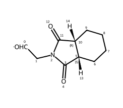 O=[C]CN1C(=O)[C@H]2CCCC[C@H]2C1=O